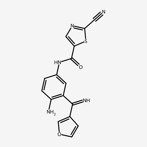 N#Cc1ncc(C(=O)Nc2ccc(N)c(C(=N)c3ccoc3)c2)s1